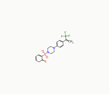 C=C(c1ccc(N2CCN(S(=O)(=O)C3=CC=CCC3=S)CC2)cc1)C(F)(F)F